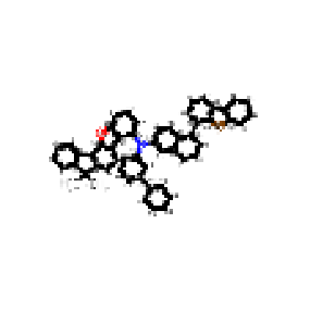 CC1(C)c2ccccc2-c2c1ccc1c2oc2cccc(N(c3cccc(-c4ccccc4)c3)c3ccc4c(-c5cccc6c5sc5ccccc56)cccc4c3)c21